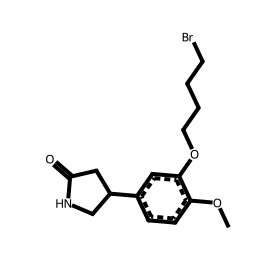 COc1ccc(C2CNC(=O)C2)cc1OCCCCBr